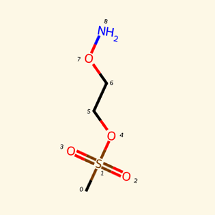 CS(=O)(=O)OCCON